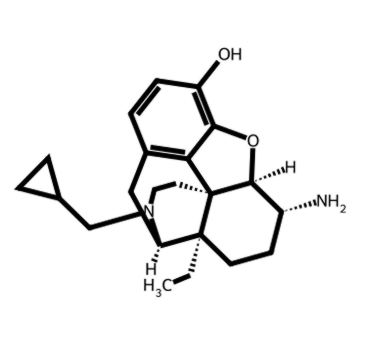 CC[C@@]12CC[C@@H](N)[C@@H]3Oc4c(O)ccc5c4[C@@]31CCN(CC1CC1)[C@@H]2C5